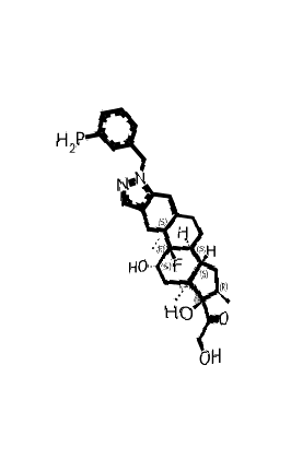 C[C@@H]1C[C@H]2[C@@H]3CCC4=Cc5c(cnn5Cc5cccc(P)c5)C[C@]4(C)[C@@]3(F)[C@@H](O)C[C@]2(C)[C@@]1(O)C(=O)CO